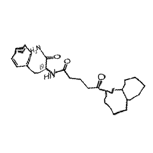 NC(=O)[C@H](Cc1ccccc1)NC(=O)CCCC(=O)N1CCCC2CCCCC21